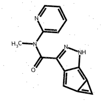 CN(C(=O)c1n[nH]c2c3cc-3cc12)c1ccccn1